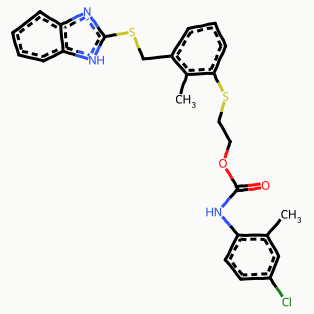 Cc1cc(Cl)ccc1NC(=O)OCCSc1cccc(CSc2nc3ccccc3[nH]2)c1C